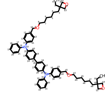 CCC1(CCCCCCOCc2ccc(N(c3ccccc3)c3ccc(-c4ccc(N(c5ccccc5)c5ccc(COCCCCCCC6(CC)COC6)cc5)cc4)cc3)cc2)COC1